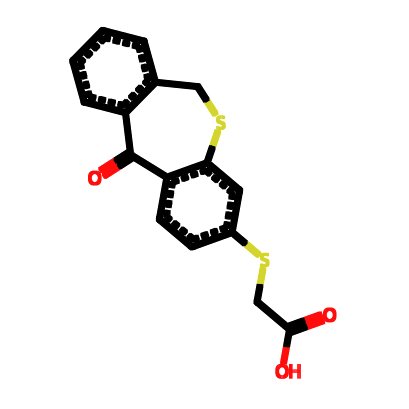 O=C(O)CSc1ccc2c(c1)SCc1ccccc1C2=O